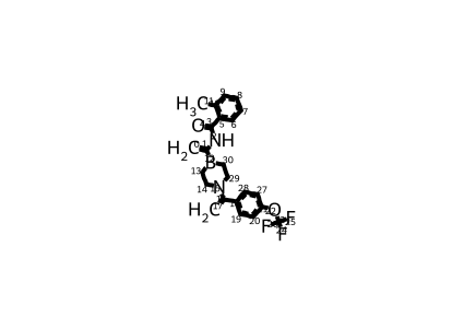 C=C(NC(=O)c1ccccc1C)B1CCN(C(=C)c2ccc(OC(F)(F)F)cc2)CC1